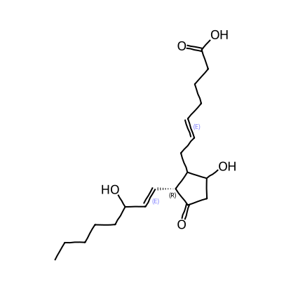 CCCCCC(O)/C=C/[C@H]1C(=O)CC(O)C1C/C=C/CCCC(=O)O